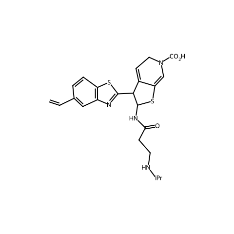 C=Cc1ccc2sc(C3C4=CCN(C(=O)O)C=C4SC3NC(=O)CCNC(C)C)nc2c1